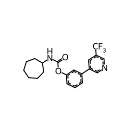 O=C(NC1CCCCCC1)Oc1cccc(-c2cncc(C(F)(F)F)c2)c1